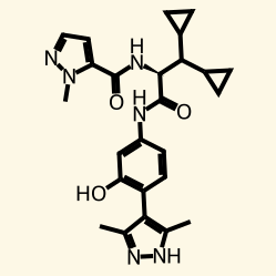 Cc1n[nH]c(C)c1-c1ccc(NC(=O)[C@@H](NC(=O)c2ccnn2C)C(C2CC2)C2CC2)cc1O